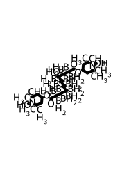 BC(B)(C(=O)OC1CC(C)(C)N(O)C(C)(C)C1)C1(B)BC(B)(C2(B)BC(B)(C(B)(B)C(=O)OC3CC(C)(C)N(O)C(C)(C)C3)C2(B)O)C1(B)B